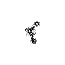 Cn1c(CCCOc2ccccc2)c2c(=O)n(CCN3CCOCC3)[nH]c2cc1=O